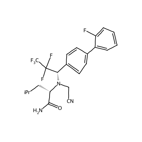 CC(C)C[C@@H](C(N)=O)N(CC#N)[C@@H](c1ccc(-c2ccccc2F)cc1)C(F)(F)C(F)(F)F